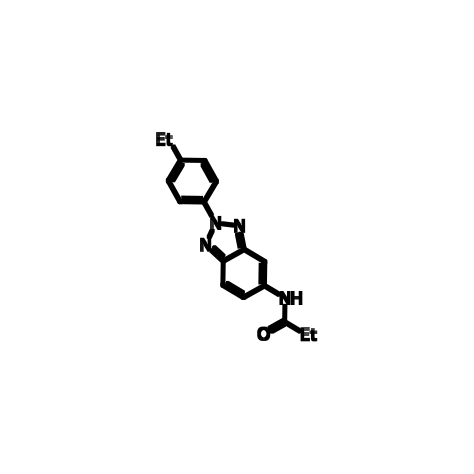 CCC(=O)Nc1ccc2nn(-c3ccc(CC)cc3)nc2c1